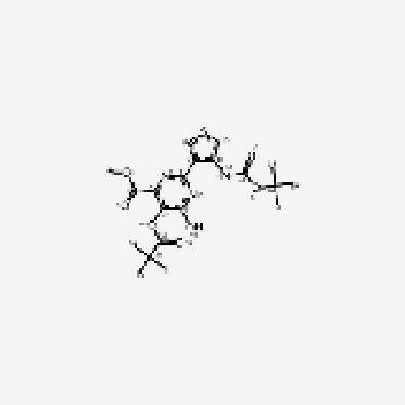 COC(=O)c1nc(-c2cscc2NC(=O)OC(C)(C)C)nc(O)c1OC(=O)C(C)(C)C